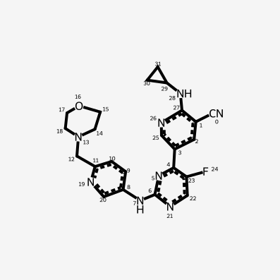 N#Cc1cc(-c2nc(Nc3ccc(CN4CCOCC4)nc3)ncc2F)cnc1NC1CC1